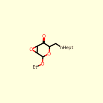 CCCCCCCCC1OC(OCC)C2OC2C1=O